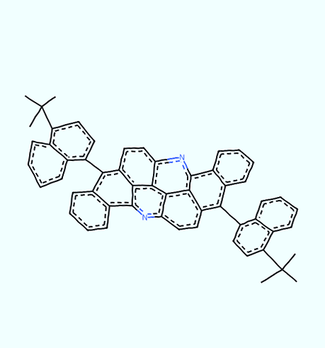 CC(C)(C)c1ccc(-c2c3ccccc3c3nc4ccc5c(-c6ccc(C(C)(C)C)c7ccccc67)c6ccccc6c6nc7ccc2c3c7c4c56)c2ccccc12